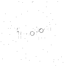 CC(C)(C)OC(=O)NCCCOc1ccc(C(C)(C)c2ccc(O)cc2)cc1